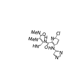 CNC(=O)/C(NC)=C(/C=N)NC(=O)c1nc(Cl)ccc1Nc1cncnc1